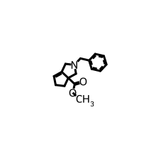 COC(=O)C12CCC=C1CN(Cc1ccccc1)C2